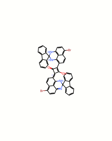 O=C1C(c2ccc3c(Br)ccc4c3c2NC2(N4)c3ccccc3-c3ccccc32)=C(O)/C1=c1/ccc2c(Br)ccc3c2c1NC1(N=3)c2ccccc2-c2ccccc21